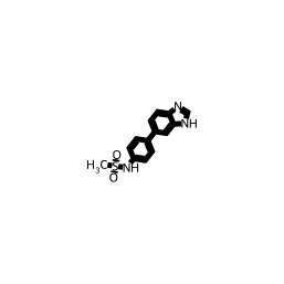 CS(=O)(=O)Nc1ccc(-c2ccc3nc[nH]c3c2)cc1